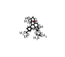 C=C(OCC)c1ccc2c(c1)S[C@]13CCC4(C[C@]1(O)CC[C@@H]1C3[C@@H]2C[C@]2(C)[C@@H](O)CC[C@@H]12)OCC(C)(C)CO4